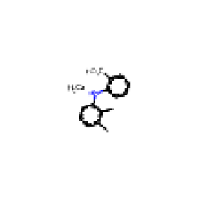 Cc1cccc(Nc2ccccc2C(=O)O)c1C.[CaH2]